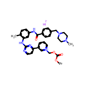 Cc1ccc(NC(=O)c2ccc(CN3CCN(C)CC3)cc2)cc1Nc1nccc(-c2ccc[n+](COC(=O)OC(C)C)c2)n1.I.[I-]